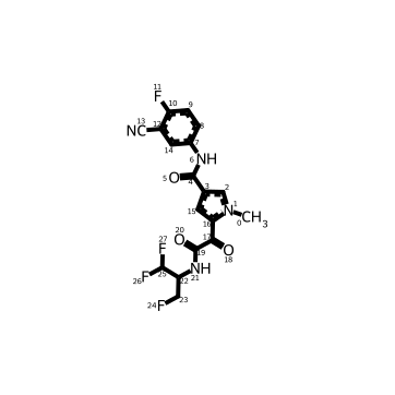 Cn1cc(C(=O)Nc2ccc(F)c(C#N)c2)cc1C(=O)C(=O)NC(CF)C(F)F